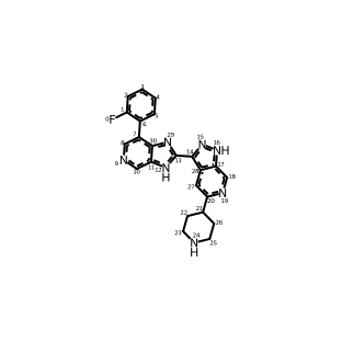 Fc1ccccc1-c1cncc2[nH]c(-c3n[nH]c4cnc(C5CCNCC5)cc34)nc12